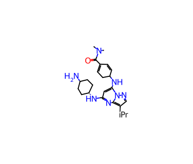 CC(C)c1cnn2c(NC3C=CC(C(=O)N(C)C)=CC3)cc(N[C@H]3CC[C@H](N)CC3)nc12